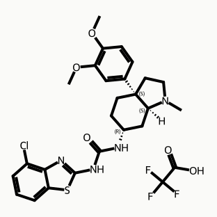 COc1ccc([C@@]23CC[C@@H](NC(=O)Nc4nc5c(Cl)cccc5s4)C[C@@H]2N(C)CC3)cc1OC.O=C(O)C(F)(F)F